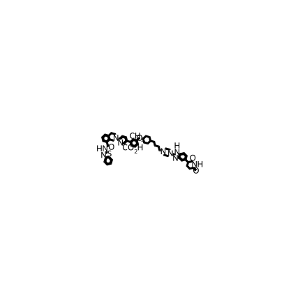 Cc1c(OC2CCC(CCCCN3CCN(c4nc5cc(C6CCC(=O)NC6=O)ccc5[nH]4)CC3)CC2)cccc1-c1ccc(N2CCc3cccc(C(=O)Nc4nc5ccccc5s4)c3C2)nc1C(=O)O